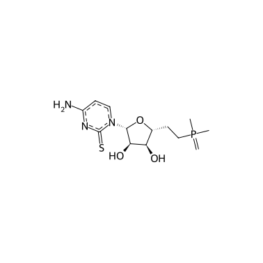 C=P(C)(C)CC[C@H]1O[C@@H](n2ccc(N)nc2=S)[C@H](O)[C@@H]1O